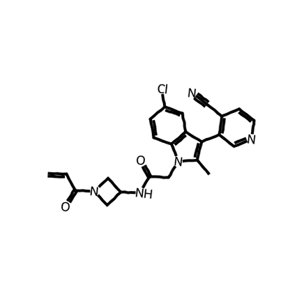 C=CC(=O)N1CC(NC(=O)Cn2c(C)c(-c3cnccc3C#N)c3cc(Cl)ccc32)C1